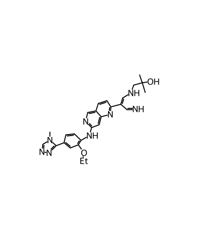 CCOc1cc(-c2nncn2C)ccc1Nc1cc2nc(/C(C=N)=C/NCC(C)(C)O)ccc2cn1